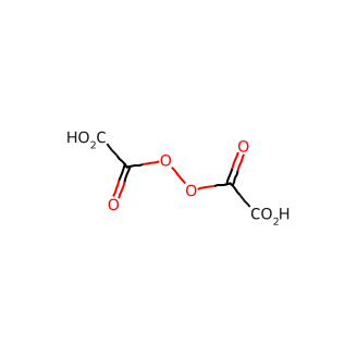 O=C(O)C(=O)OOC(=O)C(=O)O